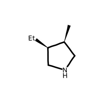 CC[C@@H]1CNC[C@@H]1C